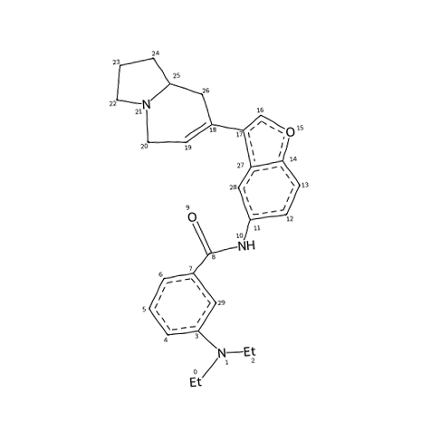 CCN(CC)c1cccc(C(=O)Nc2ccc3occ(C4=CCN5CCCC5C4)c3c2)c1